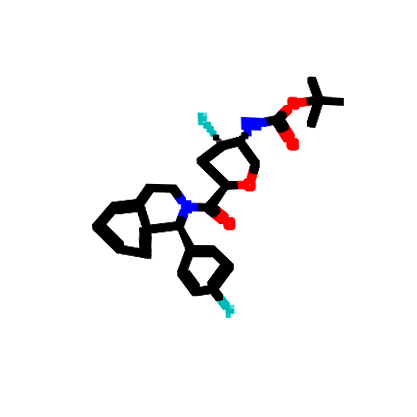 CC(C)(C)OC(=O)N[C@@H]1CO[C@@H](C(=O)N2CCc3ccccc3[C@@H]2c2ccc(F)cc2)C[C@@H]1F